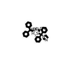 BC=C(c1ccccc1)c1ccccc1.C=C(C)[SiH2]C(c1ccccc1)(c1ccccc1)n1ccnc1